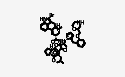 CC(C)C[C@H]1C(=O)N2CCC[C@H]2[C@]2(O)O[C@](NC(=O)[C@@H]3C=C4c5cccc6[nH]c(Br)c(c56)C[C@H]4N(C)C3)(C(C)C)C(=O)N12.c1csc(Cc2ccccc2OCC2CNCCO2)c1